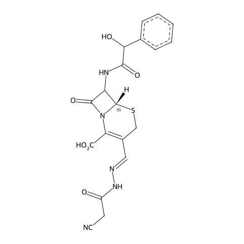 N#CCC(=O)NN=CC1=C(C(=O)O)N2C(=O)C(NC(=O)C(O)c3ccccc3)[C@@H]2SC1